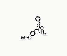 COc1ccc(CC(N)C(=O)OCc2ccccc2)cc1